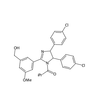 COc1cc(CO)cc(C2=NC(c3ccc(Cl)cc3)C(c3ccc(Cl)cc3)N2C(=O)C(C)C)c1